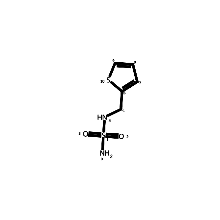 NS(=O)(=O)NCc1cccs1